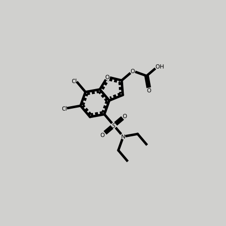 CCN(CC)S(=O)(=O)c1cc(Cl)c(Cl)c2oc(OC(=O)O)cc12